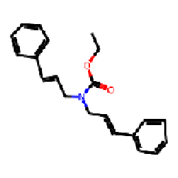 CCOC(=O)N(CC=Cc1ccccc1)CC=Cc1ccccc1